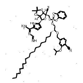 CCCCCCCCCCCCCCCCCCC[C@H](COP(=O)(OC[C@@]1(C#N)O[C@@H](c2ccc(/C(N)=N\C=N)[nH]2)[C@@H]2OC(C)(C)O[C@@H]21)Oc1ccccc1Cl)OCc1ccc(C#N)c(OC(C)C)c1